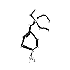 CC[N+](CC)(CC)Cc1ccc(N)cc1